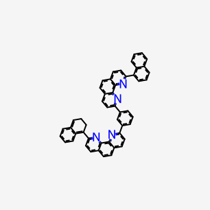 C1=c2ccccc2=C(c2ccc3ccc4ccc(-c5cccc(-c6ccc7ccc8ccc(-c9cccc%10ccccc9%10)nc8c7n6)c5)nc4c3n2)CC1